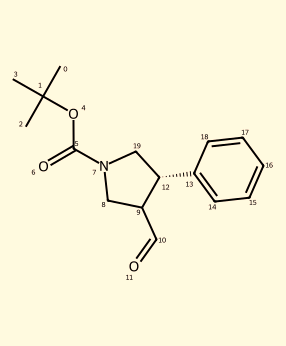 CC(C)(C)OC(=O)N1CC(C=O)[C@@H](c2ccccc2)C1